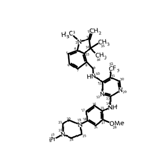 C=C1N(C)c2cccc(CNc3nc(Nc4ccc(N5CCN(C(C)C)CC5)cc4OC)ncc3C(F)(F)F)c2C1(C)C